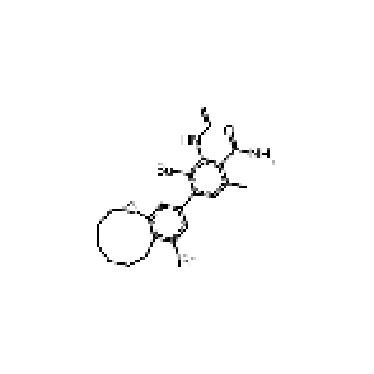 C=CNc1c(C(N)=O)c(C)cc(-c2cc3c(c(C(C)C)c2)CCCCCCO3)c1C(C)CC